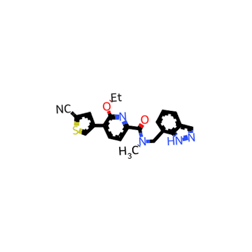 CCOc1nc(C(=O)N(C)Cc2cccc3cn[nH]c23)ccc1-c1csc(C#N)c1